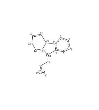 C=CCN1c2ccccc2C2C=CCCC21